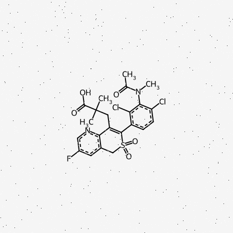 CC(=O)N(C)c1c(Cl)ccc(C2=C(CC(C)(C)C(=O)O)c3ncc(F)cc3CS2(=O)=O)c1Cl